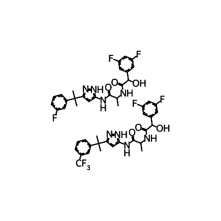 CC(NC(=O)C(O)c1cc(F)cc(F)c1)C(=O)Nc1cc(C(C)(C)c2cccc(C(F)(F)F)c2)n[nH]1.CC(NC(=O)C(O)c1cc(F)cc(F)c1)C(=O)Nc1cc(C(C)(C)c2cccc(F)c2)n[nH]1